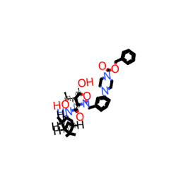 C[C@@H]1[C@@H](NC(=O)[C@@H]2[C@H]([C@H](C)O)[C@H](CO)ON2Cc2cccc(N3CCN(C(=O)OCc4ccccc4)CC3)c2)C[C@H]2C[C@@H]1C2(C)C